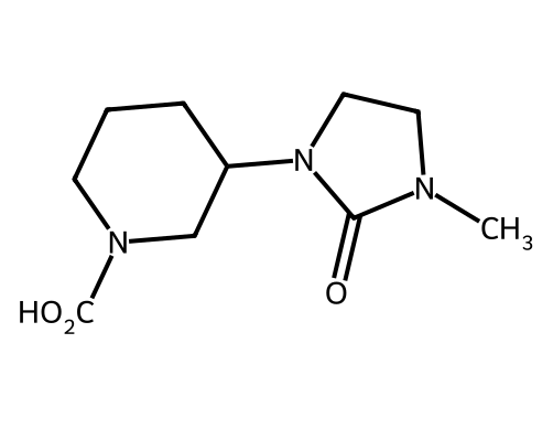 CN1CCN(C2CCCN(C(=O)O)C2)C1=O